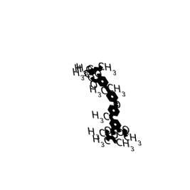 CCCC(C)C(C)OC(=O)c1cc(C(C)c2ccc(Oc3ccc(C(C)(C)c4ccc5c(c4)C(=O)OC(C)(C)C(C)(CCC)O5)cc3)cc2)ccc1OC(C)=O